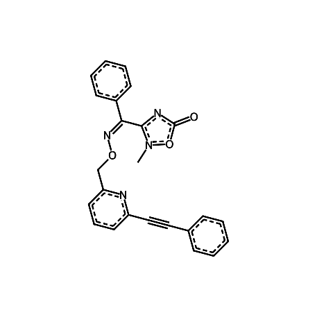 Cn1oc(=O)nc1C(=NOCc1cccc(C#Cc2ccccc2)n1)c1ccccc1